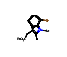 CCOC(=O)Cc1c(C)n(C(C)=O)c2c(Br)cccc12